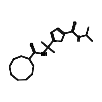 CC(C)NC(=O)C1=CC=C(C(C)(C)NC(=O)C2CCCCCCCC2)C1